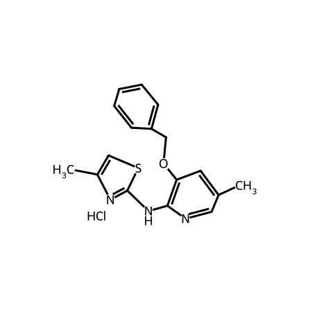 Cc1cnc(Nc2nc(C)cs2)c(OCc2ccccc2)c1.Cl